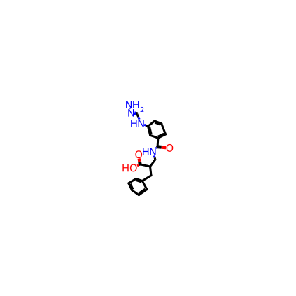 NN=CNc1cccc(C(=O)NCC(Cc2ccccc2)C(=O)O)c1